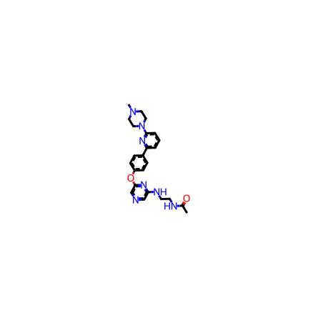 CC(=O)NCCNc1cncc(Oc2ccc(-c3cccc(N4CCN(C)CC4)n3)cc2)n1